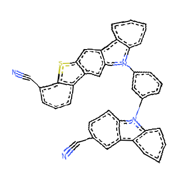 N#Cc1ccc2c(c1)c1ccccc1n2-c1cccc(-n2c3ccccc3c3cc4sc5c(C#N)cccc5c4cc32)c1